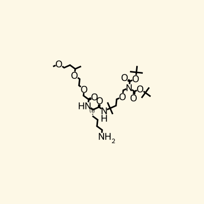 COCCC(C)OCCOCC(=O)N[C@@H](CCCCN)C(=O)NC(C)(C)CCOCN(C(=O)OC(C)(C)C)C(=O)OC(C)(C)C